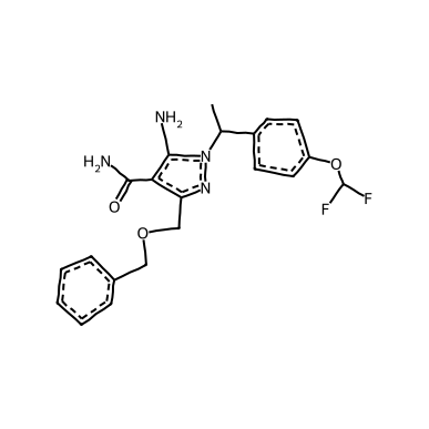 CC(c1ccc(OC(F)F)cc1)n1nc(COCc2ccccc2)c(C(N)=O)c1N